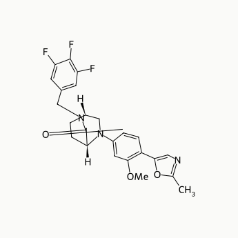 COc1cc(N2C[C@H]3CC[C@@H]2CC(=O)N3Cc2cc(F)c(F)c(F)c2)ccc1-c1cnc(C)o1